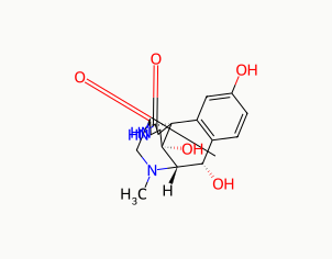 CN1CC[C@@]23CC(=O)NC(=O)NCCC[C@]2(O)[C@@H]1[C@@H](O)c1ccc(O)cc13